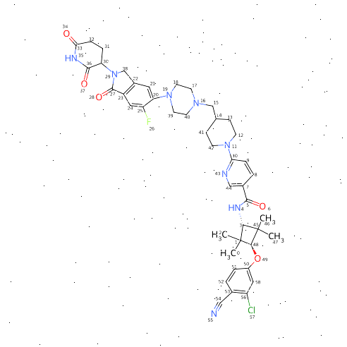 CC1(C)[C@H](NC(=O)c2ccc(N3CCC(CN4CCN(c5cc6c(cc5F)C(=O)N(C5CCC(=O)NC5=O)C6)CC4)CC3)nc2)C(C)(C)[C@H]1Oc1ccc(C#N)c(Cl)c1